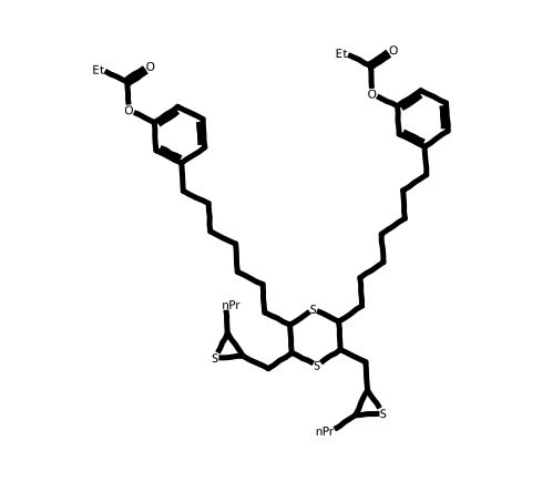 CCCC1SC1CC1SC(CC2SC2CCC)C(CCCCCCCc2cccc(OC(=O)CC)c2)SC1CCCCCCCc1cccc(OC(=O)CC)c1